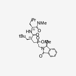 CNC(=O)[C@H](CC(C)C)NC(=O)[C@H](CC(C)(C)C)CP(=O)(CN1C(=O)c2ccccc2C1=O)OC